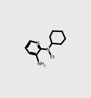 CCN(c1ncccc1N)C1CCCCC1